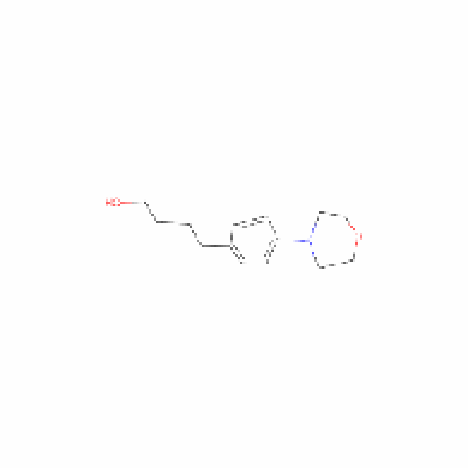 OCCCCc1ccc(N2CCOCC2)cc1